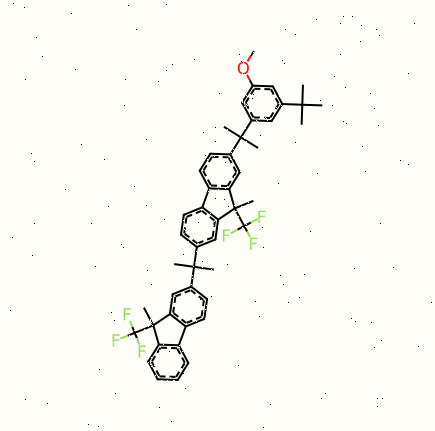 COc1cc(C(C)(C)C)cc(C(C)(C)c2ccc3c(c2)C(C)(C(F)(F)F)c2cc(C(C)(C)c4ccc5c(c4)C(C)(C(F)(F)F)c4ccccc4-5)ccc2-3)c1